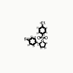 CCc1ccc(S(=O)(=O)N2CCC[C@H]2c2ccc(F)cc2)cc1